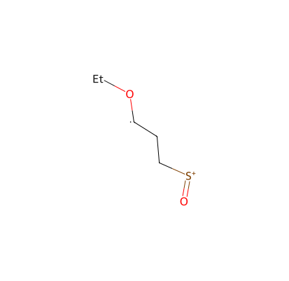 CCO[CH]CC[S+]=O